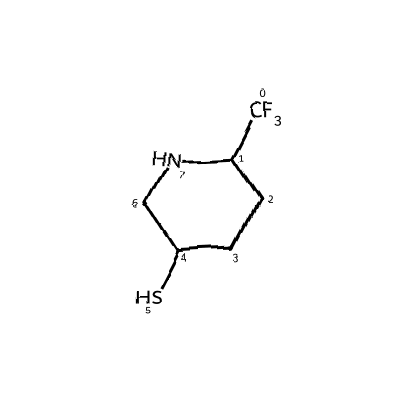 FC(F)(F)C1CCC(S)CN1